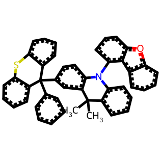 CC1(C)c2ccccc2N(c2cccc3oc4ccccc4c23)c2ccc(C3(c4ccccc4)c4ccccc4Sc4ccccc43)cc21